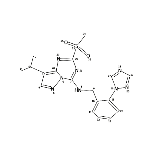 CC(C)c1cnn2c(NCc3ccccc3-n3cncn3)nc(S(C)(=O)=O)nc12